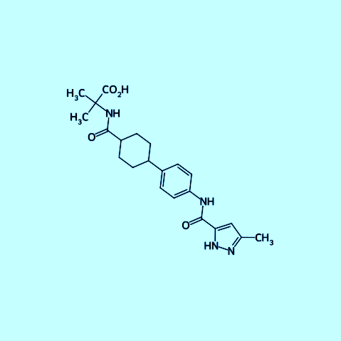 Cc1cc(C(=O)Nc2ccc(C3CCC(C(=O)NC(C)(C)C(=O)O)CC3)cc2)[nH]n1